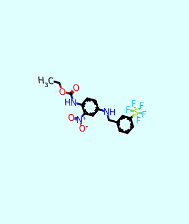 CCOC(=O)Nc1ccc(NCc2cccc(S(F)(F)(F)(F)F)c2)cc1[N+](=O)[O-]